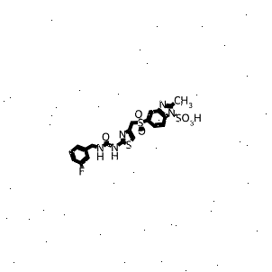 Cc1nc2cc(S(=O)(=O)Cc3csc(NC(=O)NCc4cccc(F)c4)n3)ccc2n1S(=O)(=O)O